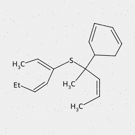 C/C=C\C(C)(SC(/C=C\CC)=C/C)C1C=CC=CC1